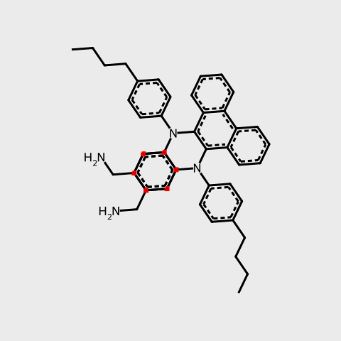 CCCCc1ccc(N(c2ccc(CN)cc2)c2c(N(c3ccc(CN)cc3)c3ccc(CCCC)cc3)c3ccccc3c3ccccc23)cc1